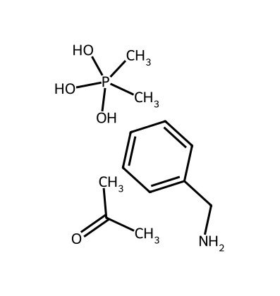 CC(C)=O.CP(C)(O)(O)O.NCc1ccccc1